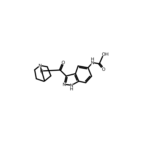 O=C(O)Nc1ccc2[nH]nc(C(=O)N3CC4CCN(CC4)C3)c2c1